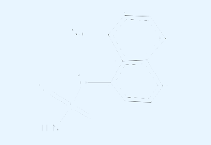 NS(=O)(=O)Oc1cccc2ccccc12.[NaH]